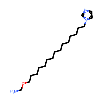 NCOCCCCCCCCCCCCCCCn1ccnc1